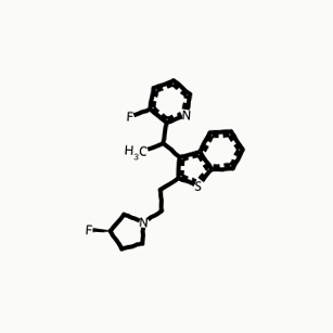 CC(c1ncccc1F)c1c(CCN2CC[C@@H](F)C2)sc2ccccc12